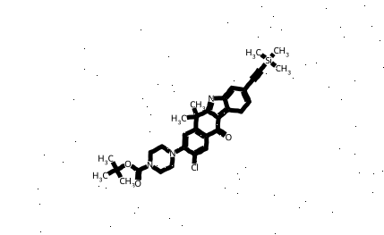 CC(C)(C)OC(=O)N1CCN(c2cc3c(cc2Cl)C(=O)C2=C4CC=C(C#C[Si](C)(C)C)C=C4N=C2C3(C)C)CC1